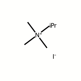 CC(C)[N+](C)(C)C.[I-]